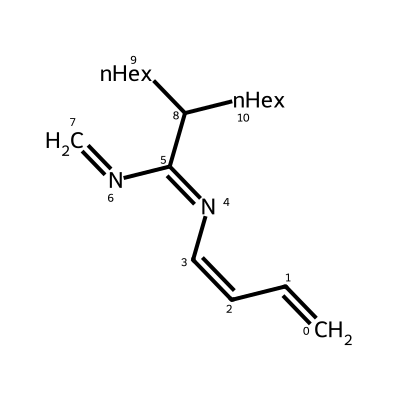 C=C/C=C\N=C(/N=C)C(CCCCCC)CCCCCC